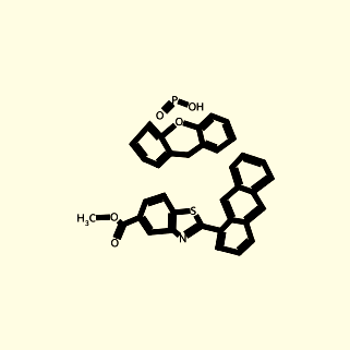 COC(=O)c1ccc2sc(-c3cccc4cc5ccccc5cc34)nc2c1.O=PO.c1ccc2c(c1)Cc1ccccc1O2